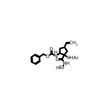 C=CC1CC(NC(=O)OCc2ccccc2)C(NC(C)=O)(C(=O)NCCCC)C1